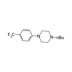 [CH2]CCCN1CCN(c2ccc(C(F)(F)F)cc2)CC1